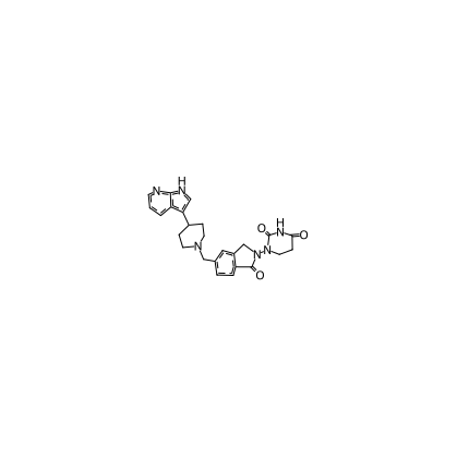 O=C1CCN(N2Cc3cc(CN4CCC(c5c[nH]c6ncccc56)CC4)ccc3C2=O)C(=O)N1